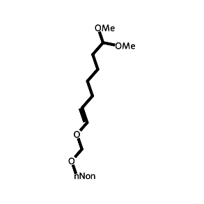 CCCCCCCCCOCOC=CCCCCC(OC)OC